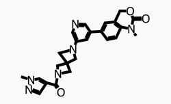 CN1C(=O)OCc2cc(-c3cncc(N4CC5(CN(C(=O)c6cnn(C)c6)C5)C4)c3)ccc21